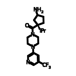 CC(C)[C@]1(C(=O)N2CCN(c3cncc(C(F)(F)F)c3)CC2)CCC(N)C1